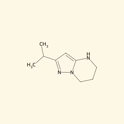 CC(C)c1cc2n(n1)CCCN2